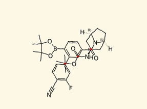 CC(C)(C)OC(=O)N[C@H]1C[C@H]2CC[C@@H](C1)N2C(=O)c1ccc(B2OC(C)(C)C(C)(C)O2)c(-c2ccc(C#N)c(F)c2)c1